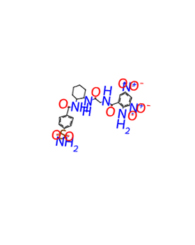 Nc1c(C(=O)NCC(=O)NC2CCCCC2NC(=O)c2ccc(S(N)(=O)=O)cc2)cc([N+](=O)[O-])cc1[N+](=O)[O-]